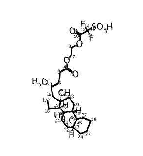 C[C@H](CCC(=O)OCCOC(=O)C(F)(F)S(=O)(=O)O)[C@H]1CC[C@H]2[C@@H]3CC[C@@H]4CCCC[C@]4(C)[C@H]3CC[C@]12C